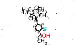 CCC(O)c1ccc(C#C[Si](C(C)C)(C(C)C)C(C)C)cc1F